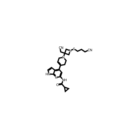 N#CCCCSN1CC(CC#N)(N2CC=C(c3cc(NC(=O)C4CC4)nc4[nH]ccc34)CC2)C1